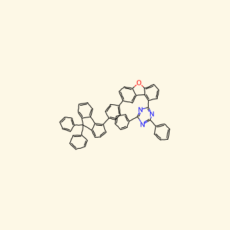 c1ccc(-c2nc(-c3ccccc3)nc(-c3cccc4oc5ccc(-c6ccc(-c7cccc8c7-c7ccccc7C8(c7ccccc7)c7ccccc7)cc6)cc5c34)n2)cc1